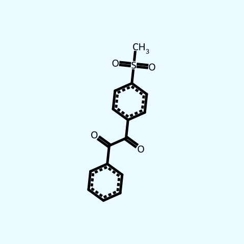 CS(=O)(=O)c1ccc(C(=O)C(=O)c2ccccc2)cc1